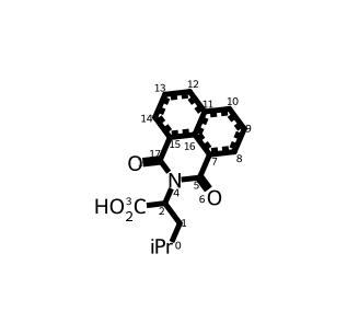 CC(C)CC(C(=O)O)N1C(=O)c2cccc3cccc(c23)C1=O